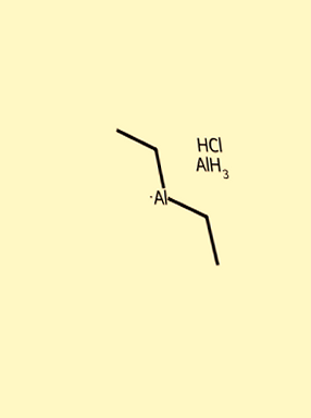 C[CH2][Al][CH2]C.Cl.[AlH3]